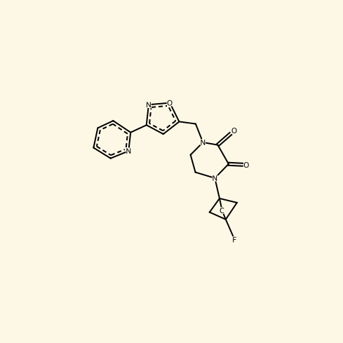 O=C1C(=O)N(C23CC(F)(C2)C3)CCN1Cc1cc(-c2ccccn2)no1